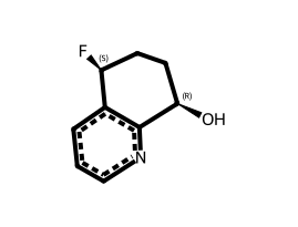 O[C@@H]1CC[C@H](F)c2cccnc21